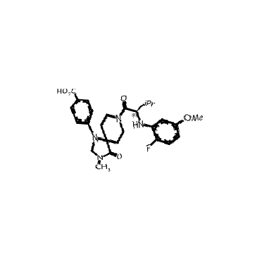 COc1ccc(F)c(N[C@@H](C(=O)N2CCC3(CC2)C(=O)N(C)CN3c2ccc(C(=O)O)cc2)C(C)C)c1